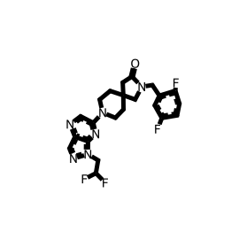 O=C1CC2(CCN(c3cnc4cnn(CC(F)F)c4n3)CC2)CN1Cc1cc(F)ccc1F